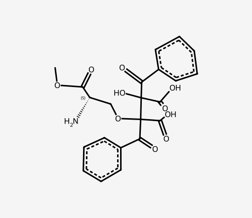 COC(=O)[C@@H](N)COC(C(=O)O)(C(=O)c1ccccc1)C(O)(C(=O)O)C(=O)c1ccccc1